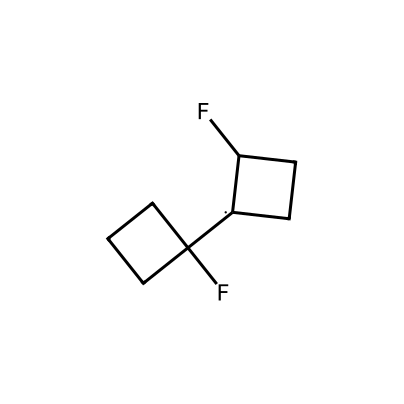 FC1CC[C]1C1(F)CCC1